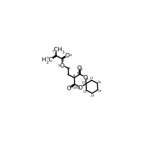 C=C(C)C(=O)OCCC1C(=O)OC2(CCCCC2)OC1=O